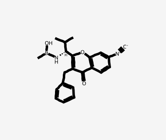 [C-]#[N+]c1ccc2c(=O)c(Cc3ccccc3)c([C@H](NB(C)O)C(C)C)oc2c1